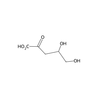 O=C(O)C(=O)CC(O)CO